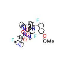 COCOc1cc(-c2ncc3c(N4CC5CCC(C4)N5C(=O)OC(OC4CC4)C(C)(C)C)nc(OC[C@@]45CCCN4C[C@H](F)C5)nc3c2F)c2c(C#C[Si](C(C)C)(C(C)C)C(C)C)c(F)ccc2c1